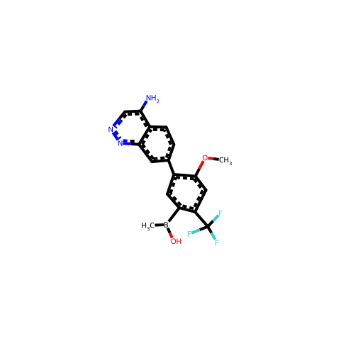 COc1cc(C(F)(F)F)c(B(C)O)cc1-c1ccc2c(N)cnnc2c1